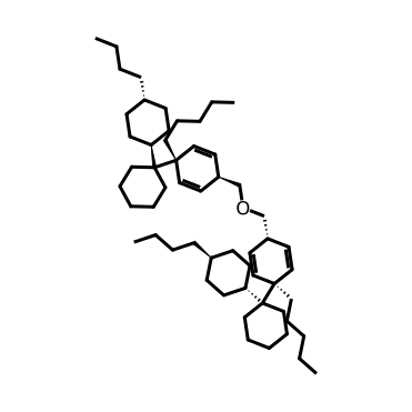 CCCCC[C@]1(C2([C@H]3CC[C@H](CCCC)CC3)CCCCC2)C=C[C@H](COC[C@H]2C=C[C@](CCCCC)(C3([C@H]4CC[C@H](CCCC)CC4)CCCCC3)C=C2)C=C1